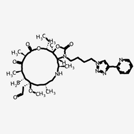 B[C@@H]1[C@@H](C)C(=O)[C@@H](C)C(=O)O[C@H](CC)[C@@]2(C)OC(=O)N(CCCCn3cc(-c4ccccn4)nn3)[C@@H]2[C@@H](C)NC[C@H](C)C[C@@]1(CC=O)OC